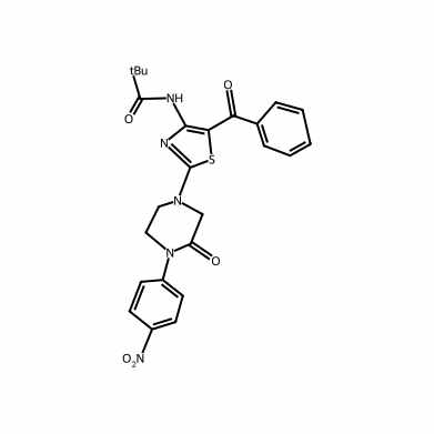 CC(C)(C)C(=O)Nc1nc(N2CCN(c3ccc([N+](=O)[O-])cc3)C(=O)C2)sc1C(=O)c1ccccc1